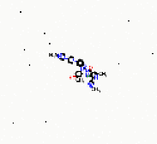 Cc1cc(C(=O)Nc2nc3ccc(N4CCC(N5CCN(C)CC5)CC4)cc3n2[C@H]2CC[C@@](C)(O)CC2)c(F)c(-c2cnn(C)c2)n1